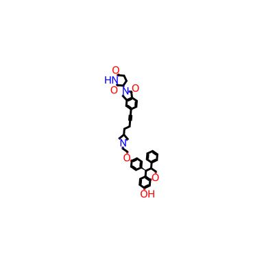 O=C1CCC(N2Cc3cc(C#CCCC4CN(CCOc5ccc([C@@H]6c7ccc(O)cc7OCC6c6ccccc6)cc5)C4)ccc3C2=O)C(=O)N1